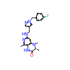 Cc1nc(NCc2cnn(Cc3ccc(F)cc3)c2)cc2c1NC(=O)[C@H](C)N2C